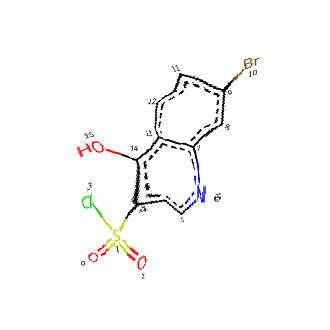 O=S(=O)(Cl)c1cnc2cc(Br)ccc2c1O